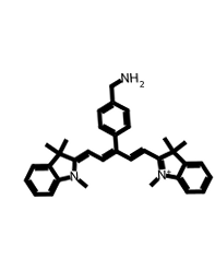 CN1\C(=C/C=C(/C=C/C2=[N+](C)c3ccccc3C2(C)C)c2ccc(CN)cc2)C(C)(C)c2ccccc21